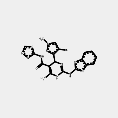 CC1=C(C(=O)Nc2nncs2)C(c2nn(C)cc2Br)N=C(Nc2nc3ccccc3o2)N1